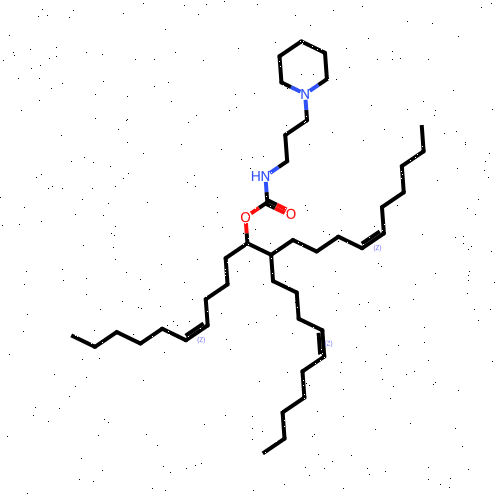 CCCCC/C=C\CCCC(CCC/C=C\CCCCC)C(CCC/C=C\CCCCC)OC(=O)NCCCN1CCCCC1